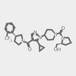 O=C(c1cnn(C2CCN(C(=O)N3CCC[C@H]3CO)CC2)c1C1CC1)N1CC[C@@H](c2ccccc2C(F)(F)F)C1